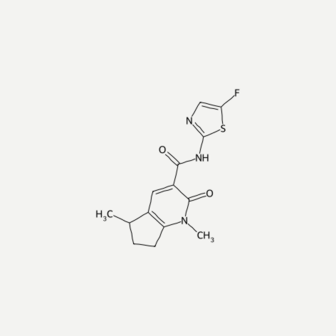 CC1CCc2c1cc(C(=O)Nc1ncc(F)s1)c(=O)n2C